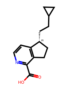 O=C(O)c1nccc2c1CC[C@H]2CCC1CC1